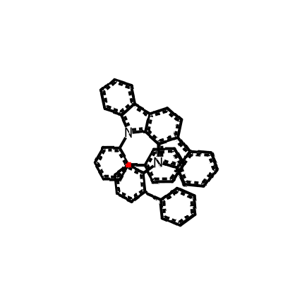 c1ccc(-c2ccccc2-n2c3ccccc3c3ccc4c5ccccc5n(-c5ccccc5-c5ccccc5)c4c32)cc1